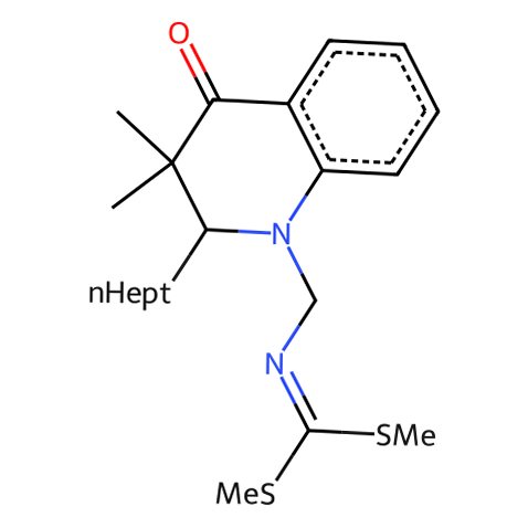 CCCCCCCC1N(CN=C(SC)SC)c2ccccc2C(=O)C1(C)C